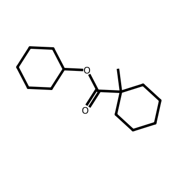 CC1(C(=O)OC2CCCCC2)CCCCC1